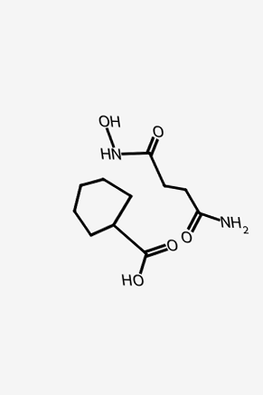 NC(=O)CCC(=O)NO.O=C(O)C1CCCCC1